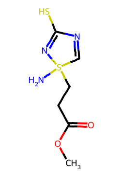 COC(=O)CCS1(N)C=NC(S)=N1